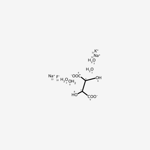 O.O.O.O.O=C([O-])C(O)C(O)C(=O)[O-].[F-].[K+].[Na+].[Na+]